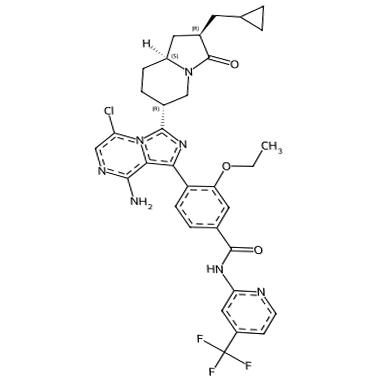 CCOc1cc(C(=O)Nc2cc(C(F)(F)F)ccn2)ccc1-c1nc([C@@H]2CC[C@H]3C[C@@H](CC4CC4)C(=O)N3C2)n2c(Cl)cnc(N)c12